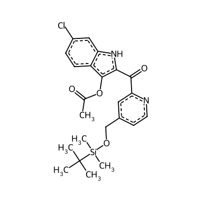 CC(=O)Oc1c(C(=O)c2cc(CO[Si](C)(C)C(C)(C)C)ccn2)[nH]c2cc(Cl)ccc12